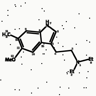 CCN(CC)CCc1c[nH]c2cc(C)c(OC)cc12